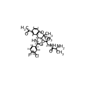 CC(=O)c1ccc2c(c1)[C@H](NC(=O)c1ccc(F)c(Cl)c1)[C@H](OC(=O)CNC(=O)[C@H](C)N)C(C)(C)O2